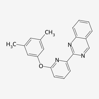 Cc1cc(C)cc(Oc2cccc(-c3ncc4ccccc4n3)n2)c1